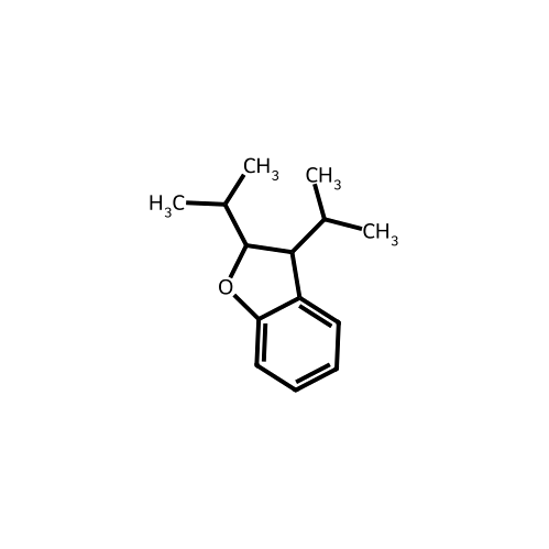 CC(C)C1Oc2ccccc2C1C(C)C